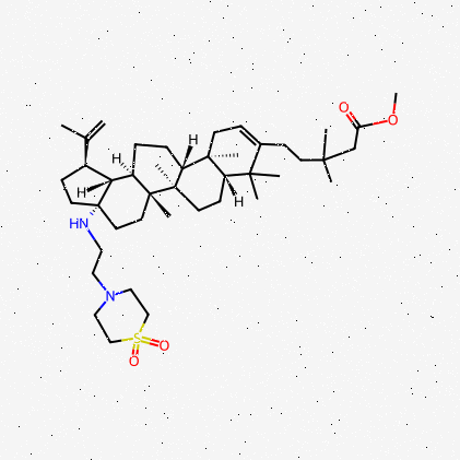 C=C(C)[C@@H]1CC[C@]2(NCCN3CCS(=O)(=O)CC3)CC[C@]3(C)[C@H](CC[C@@H]4[C@@]5(C)CC=C(CCC(C)(C)CC(=O)OC)C(C)(C)[C@@H]5CC[C@]43C)[C@@H]12